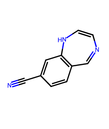 N#Cc1ccc2c(c1)NC=CN=C2